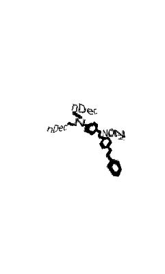 CCCCCCCCCCCCN(CCCCCCCCCCCC)c1ccc(C=CC2([N+](=O)[O-])C=CC(C=Cc3ccccc3)=CC2C#N)cc1